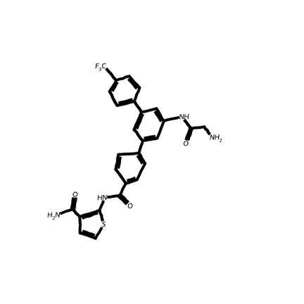 NCC(=O)Nc1cc(-c2ccc(C(=O)Nc3sccc3C(N)=O)cc2)cc(-c2ccc(C(F)(F)F)cc2)c1